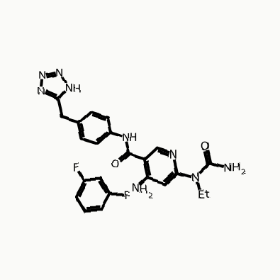 CCN(C(N)=O)c1cc(N)c(C(=O)Nc2ccc(Cc3nnn[nH]3)cc2)cn1.Fc1cccc(F)c1